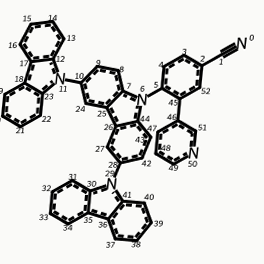 N#Cc1ccc(-n2c3ccc(-n4c5ccccc5c5ccccc54)cc3c3cc(-n4c5ccccc5c5ccccc54)ccc32)c(-c2cccnc2)c1